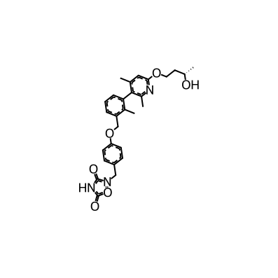 Cc1cc(OCC[C@H](C)O)nc(C)c1-c1cccc(COc2ccc(Cn3oc(=O)[nH]c3=O)cc2)c1C